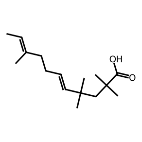 C/C=C(\C)CC/C=C/C(C)(C)CC(C)(C)C(=O)O